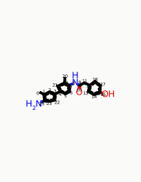 Cc1cc(-c2ccc(NC(=O)Cc3ccc(O)cc3)c(C)c2)ccc1N